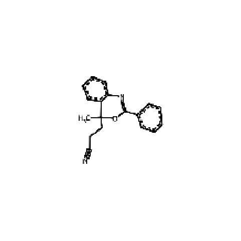 CC1(CCC#N)OC(c2ccccc2)=Nc2ccccc21